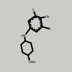 COC1CCC(Nc2cc(F)c(C#N)c(F)c2)CC1